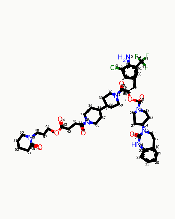 Nc1c(Cl)cc(C[C@@H](OC(=O)N2CCC(N3CCc4ccccc4NC3=O)CC2)C(=O)N2CCC(C3CCN(C(=O)CCC(=O)OCCCN4CCCCC4=O)CC3)CC2)cc1C(F)(F)F